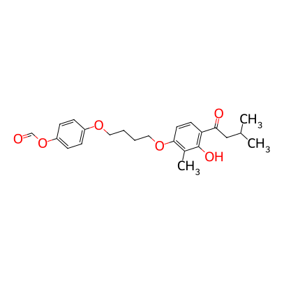 Cc1c(OCCCCOc2ccc(OC=O)cc2)ccc(C(=O)CC(C)C)c1O